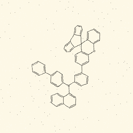 c1ccc(-c2ccc(N(c3cccc(-c4ccc5c(c4)Oc4ccccc4C54c5ccccc5-c5ccccc54)c3)c3cccc4ccccc34)cc2)cc1